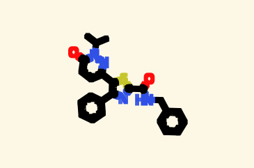 CC(C)n1nc(-c2sc(C(=O)NCc3ccccc3)nc2-c2ccccc2)ccc1=O